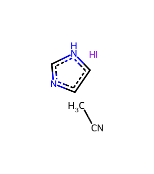 CC#N.I.c1c[nH]cn1